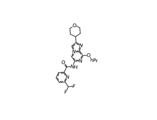 CCCOc1nc(NC(=O)c2cccc(C(F)F)n2)cn2cc(C3CCOCC3)nc12